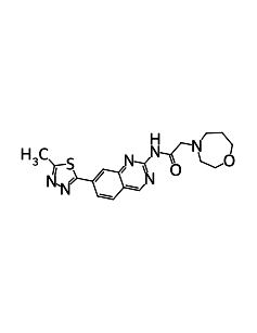 Cc1nnc(-c2ccc3cnc(NC(=O)CN4CCCOCC4)nc3c2)s1